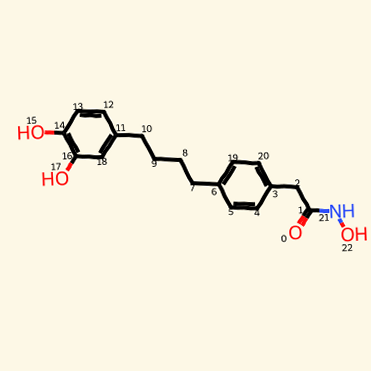 O=C(Cc1ccc(CCCCc2ccc(O)c(O)c2)cc1)NO